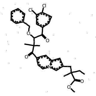 CCC(C)(Cc1cc2cc(C(=O)C(C)(C)C(OCc3ccccc3)C(=O)c3ccc(Cl)c(Cl)c3)ccn2c1)C(=O)OC